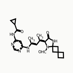 CC(/C=C(\C)Nc1cc(NC(=O)C2CC2)ncn1)=C1\C(=O)NC2(CC3(CCC3)C2)N1C=O